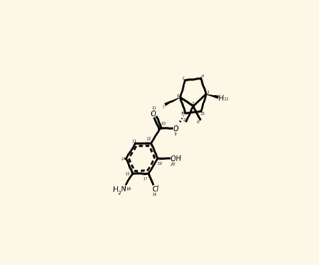 CC1(C)[C@@H]2CC[C@@]1(C)[C@@H](OC(=O)c1ccc(N)c(Cl)c1O)C2